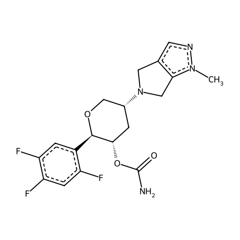 Cn1ncc2c1CN([C@H]1CO[C@H](c3cc(F)c(F)cc3F)[C@@H](OC(N)=O)C1)C2